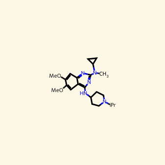 COc1cc2nc(N(C)C3CC3)nc(NC3CCN(C(C)C)CC3)c2cc1OC